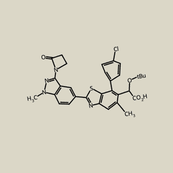 Cc1cc2nc(-c3ccc4c(c3)c(N3CCC3=O)nn4C)sc2c(-c2ccc(Cl)cc2)c1C(OC(C)(C)C)C(=O)O